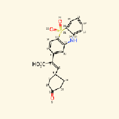 O=C1CCC(C=C(C(=O)O)c2ccc3c(c2)Nc2ccccc2S3(=O)=O)CC1